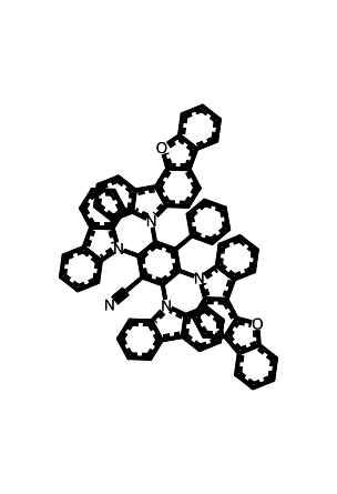 N#Cc1c(-n2c3ccccc3c3ccccc32)c(-n2c3ccccc3c3c4oc5ccccc5c4ccc32)c(-c2ccccc2)c(-n2c3ccccc3c3c4oc5ccccc5c4ccc32)c1-n1c2ccccc2c2ccccc21